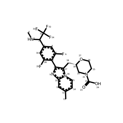 CNC(c1cc(F)c(-c2nc3cc(C)ccn3c2C[C@H]2CN(C(=O)O)CCO2)c(F)c1)C(F)(F)F